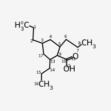 CCCC1CC(CCC)C(C(=O)O)C(CCC)C1